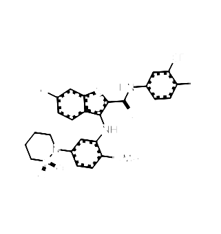 COc1ccc(N2CCCCS2(=O)=O)cc1Nc1c(C(=O)Nc2ccc(F)c(C(F)(F)F)c2)sc2cc(C(F)(F)F)ccc12